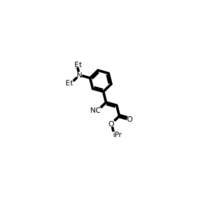 CCN(CC)c1cccc(C(C#N)=CC(=O)OC(C)C)c1